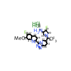 COc1cc2nc(-c3nnc4ccc([C@@H](N5C[C@@H](N)[C@@H](F)C5)C(F)(F)F)cn34)ccc2cc1F.Cl.Cl